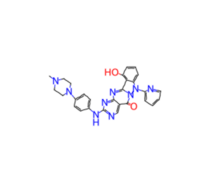 CN1CCN(c2ccc(Nc3ncc4c(=O)n5c(nc4n3)c3c(O)cccc3n5-c3ccccn3)cc2)CC1